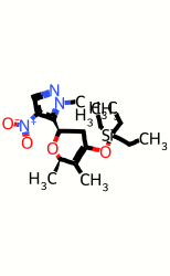 CC[Si](CC)(CC)OC1=C(C)[C@@H](C)O[C@@H](c2c([N+](=O)[O-])cnn2C)C1